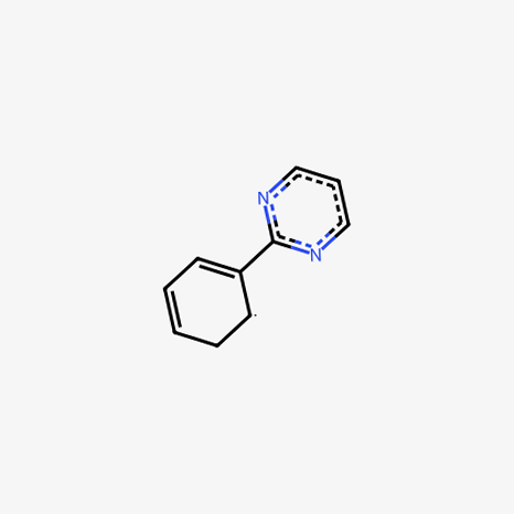 [CH]1CC=CC=C1c1ncccn1